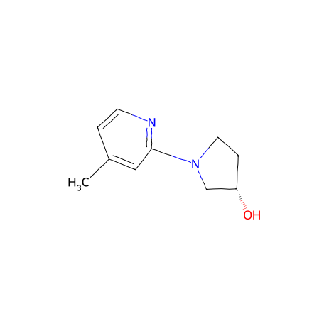 Cc1ccnc(N2CC[C@H](O)C2)c1